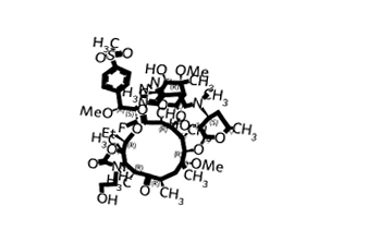 CC[C@H]1OC(=O)[C@H](C)[C@@H](O[C@H]2C[C@@](C)(OC)[C@@H](O)[C@H](C)O2)[C@H](C)[C@@H](O[C@@H]2O[C@H](C)C[C@H](N(C)CCc3cn([C@H](CF)[C@H](OC)c4ccc(S(C)(=O)=O)cc4)nn3)[C@H]2O)[C@](C)(OC)C[C@@H](C)C(=O)[C@H](C)[C@H]2N(CCO)C(=O)O[C@]12C